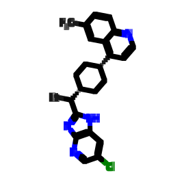 CCC(c1nc2ncc(Cl)cc2[nH]1)[C@H]1CC[C@@H](c2ccnc3ccc(C(F)(F)F)cc32)CC1